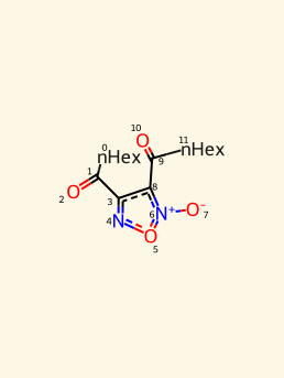 CCCCCCC(=O)c1no[n+]([O-])c1C(=O)CCCCCC